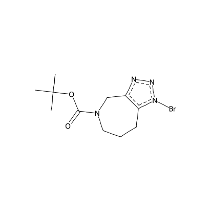 CC(C)(C)OC(=O)N1CCCc2c(nnn2Br)C1